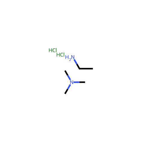 CCN.CN(C)C.Cl.Cl